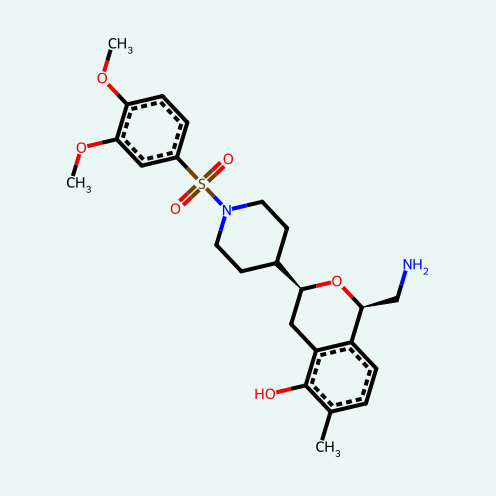 COc1ccc(S(=O)(=O)N2CCC([C@@H]3Cc4c(ccc(C)c4O)[C@H](CN)O3)CC2)cc1OC